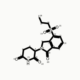 O=C1CCC(N2Cc3c(cccc3S(=O)(=O)CCI)C2=O)C(=O)N1